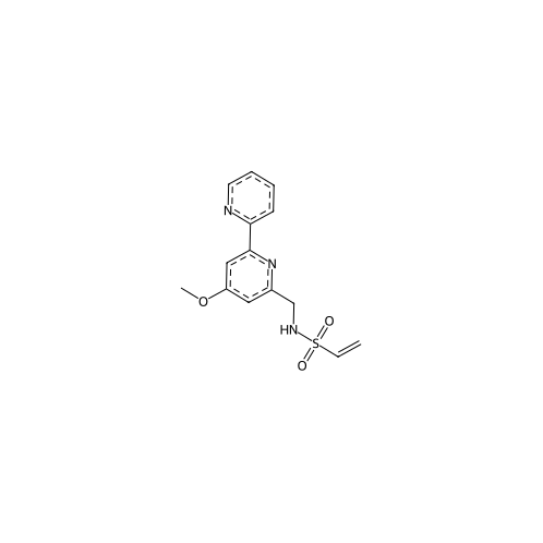 C=CS(=O)(=O)NCc1cc(OC)cc(-c2ccccn2)n1